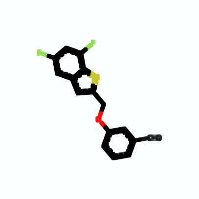 O=Cc1cccc(OCc2cc3cc(F)cc(F)c3s2)c1